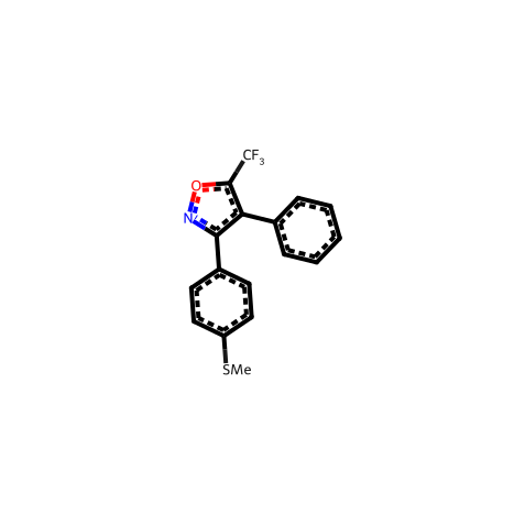 CSc1ccc(-c2noc(C(F)(F)F)c2-c2ccccc2)cc1